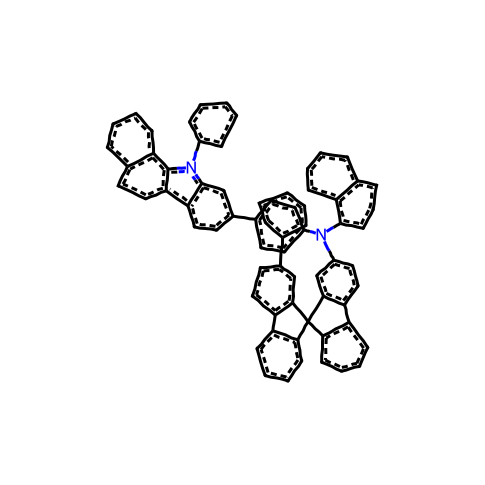 c1ccc(-c2ccc3c(c2)C2(c4ccccc4-3)c3ccccc3-c3ccc(N(c4ccc(-c5ccc6c7ccc8ccccc8c7n(-c7ccccc7)c6c5)cc4)c4cccc5ccccc45)cc32)cc1